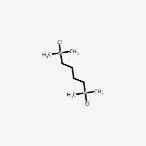 C[Si](C)(Cl)CCCC[Si](C)(C)Cl